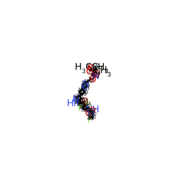 COC(=O)C(c1cc(OCCCN2CCN(c3ccc(-c4cnc5[nH]cc(C(=O)c6c(F)ccc(NS(=O)(=O)N7CC[C@@H](F)C7)c6F)c5c4)cc3)CC2)no1)C(C)C